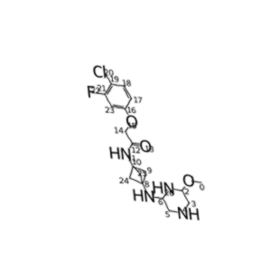 COC1CNCC(NC23CC(NC(=O)COc4ccc(Cl)c(F)c4)(C2)C3)N1